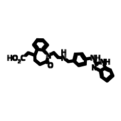 O=C(O)CC1CCC(=O)N(CCNCc2ccc(Nc3nc4ccccc4[nH]3)cc2)c2ccccc21